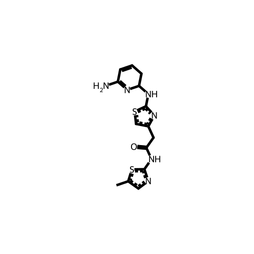 Cc1cnc(NC(=O)Cc2csc(NC3CC=CC(N)=N3)n2)s1